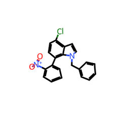 O=[N+]([O-])c1ccccc1-c1ccc(Cl)c2ccn(Cc3ccccc3)c12